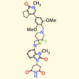 COc1cc(-c2cn(C)c(=O)c3c2CCC3)cc(OC)c1CN1CCC2(CN(c3cccc4c3n(C)c(=O)n4C3CC(=O)NC(=O)C3)C2)C(F)(F)C1